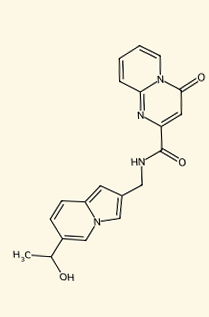 CC(O)c1ccc2cc(CNC(=O)c3cc(=O)n4ccccc4n3)cn2c1